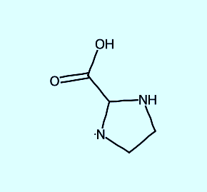 O=C(O)C1[N]CCN1